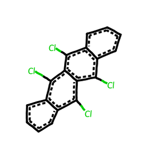 Clc1c2ccccc2c(Cl)c2c(Cl)c3ccccc3c(Cl)c12